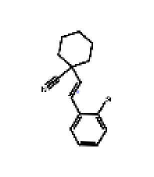 N#CC1(/C=C/c2ccccc2Br)CCCCC1